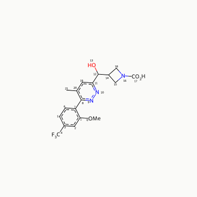 COc1cc(C(F)(F)F)ccc1-c1nnc(C(O)C2CN(C(=O)O)C2)cc1C